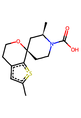 Cc1cc2c(s1)[C@]1(CCN(C(=O)O)[C@H](C)C1)OCC2